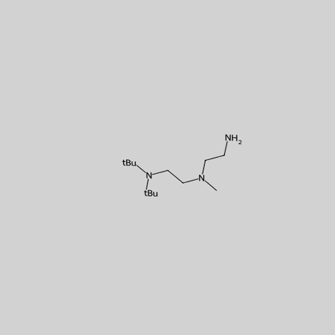 CN(CCN)CCN(C(C)(C)C)C(C)(C)C